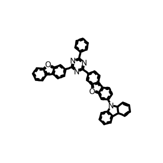 C1=CC2c3ccccc3N(c3ccc4c(c3)oc3cc(-c5nc(-c6ccccc6)nc(-c6ccc7c(c6)oc6ccccc67)n5)ccc34)C2C=C1